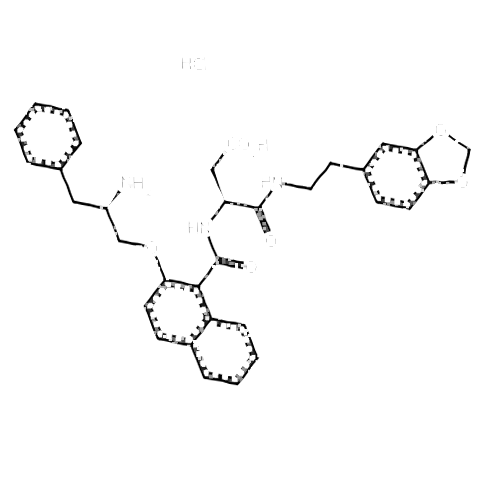 Cl.N[C@@H](COc1ccc2ccccc2c1C(=O)N[C@@H](CC(=O)O)C(=O)NCCc1ccc2c(c1)OCO2)Cc1ccccc1